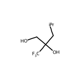 CC(C)CC(O)(CO)C(F)(F)F